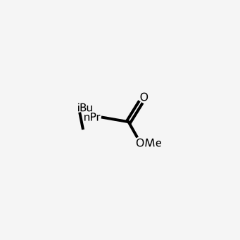 CCCC(=O)OC.[CH2]CC(C)C